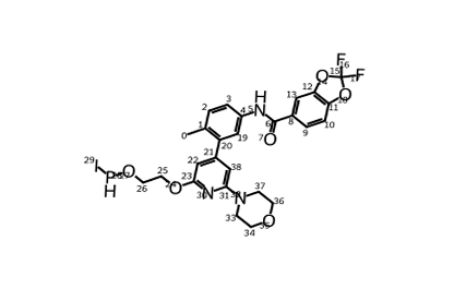 Cc1ccc(NC(=O)c2ccc3c(c2)OC(F)(F)O3)cc1-c1cc(OCCOPI)nc(N2CCOCC2)c1